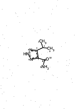 CC(C)c1n[nH]nc1C(N)=O